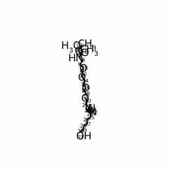 CC(C)(C)OC(=O)NCCOCCOCCOCCOCCn1cc(CCCCCCO)nn1